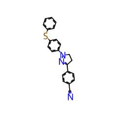 N#Cc1ccc(C2=NN(c3ccc(Sc4ccccc4)cc3)CC2)cc1